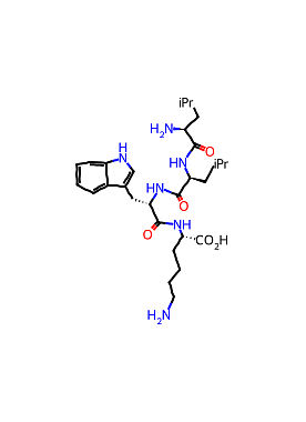 CC(C)C[C@H](NC(=O)[C@@H](N)CC(C)C)C(=O)N[C@@H](Cc1c[nH]c2ccccc12)C(=O)N[C@@H](CCCCN)C(=O)O